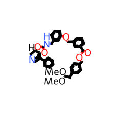 COC(Cc1ccc(COC(=O)c2cccc(COc3cccc(CNC(=O)O[C@H]4CN5CCC4C(c4ccccc4)C5)c3)c2)cc1)OC